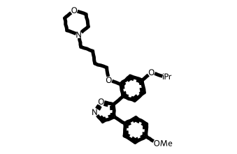 COc1ccc(-c2cnoc2-c2ccc(OC(C)C)cc2OCCCCN2CCOCC2)cc1